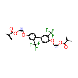 C=C(C)C(=O)O/C=C\Oc1ccc(-c2ccc(O/C=C\OC(=O)C(=C)C)c(C(F)(F)F)c2)c(C(F)(F)F)c1